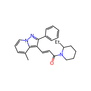 CCC1CCCCN1C(=O)C=Cc1c(-c2ccccc2)nn2cccc(C)c12